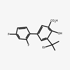 CCC(C)(C)c1cc(-c2ccc(F)cc2F)cc(C(=O)O)c1O